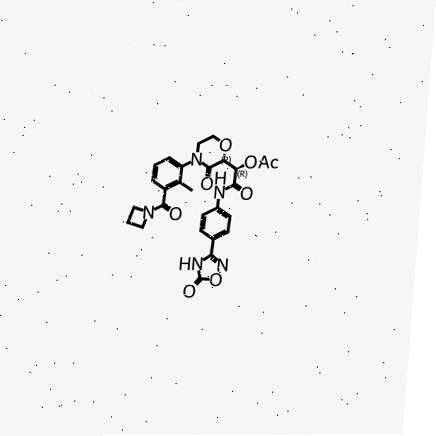 CC(=O)O[C@@H](C(=O)Nc1ccc(-c2noc(=O)[nH]2)cc1)[C@H]1OCCN(c2cccc(C(=O)N3CCC3)c2C)C1=O